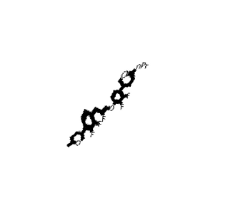 CCCC1CCC(c2ccc(OCC(F)Cc3ccc(C4CCC(C)OC4)c(F)c3F)c(F)c2F)CO1